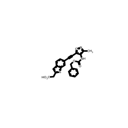 Cc1noc(C#Cc2ccc3cc(CC(=O)O)sc3c2)c1NC(=O)OCc1ccccc1